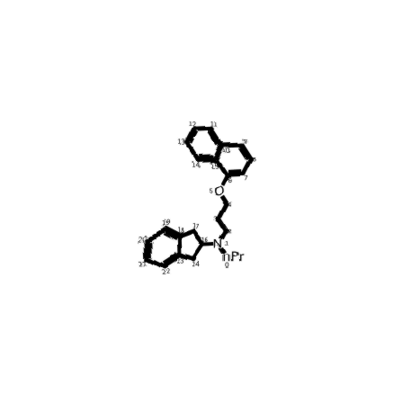 CCCN(CCCOc1cccc2ccccc12)C1Cc2ccccc2C1